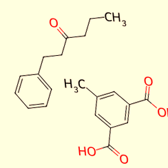 CCCC(=O)CCc1ccccc1.Cc1cc(C(=O)O)cc(C(=O)O)c1